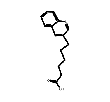 O=C(O)CCCCCc1cnc2ccccc2c1